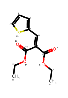 CCOC(=O)C(=Cc1cccs1)C(=O)OCC